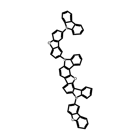 c1ccc2c(c1)oc1ccc(-n3c4ccccc4c4c5oc6c(ccc7c6c6ccccc6n7-c6ccc7oc8ccc(-n9c%10ccccc%10c%10ccccc%109)cc8c7c6)c5ccc43)cc12